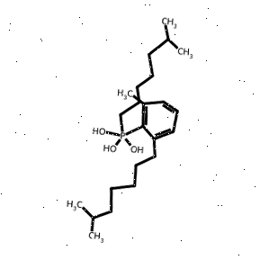 Cc1cccc(CCCCCC(C)C)c1P(O)(O)(O)CCCCCC(C)C